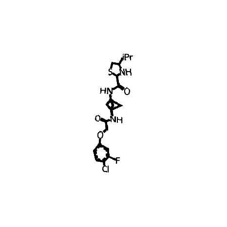 CC(C)C1CSC(C(=O)NC23CC(NC(=O)COc4ccc(Cl)c(F)c4)(C2)C3)N1